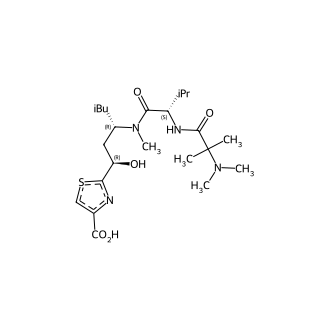 CCC(C)[C@@H](C[C@@H](O)c1nc(C(=O)O)cs1)N(C)C(=O)[C@@H](NC(=O)C(C)(C)N(C)C)C(C)C